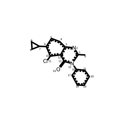 Cc1nc2ccc(C3CC3)c(Cl)c2c(=O)n1-c1ccccc1